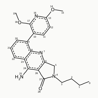 CCCCN1Cc2nc3c(-c4ccc(OC)nc4OC)cccc3c(N)c2C1=O